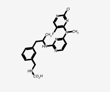 CC(Cc1cccc(CNC(=O)O)c1)Nc1nccc(N(C)c2nc(Cl)ncc2F)n1